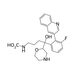 O=C(O)NCCCC(O)(c1cccc(F)c1-c1cnc2ccccc2c1)C1CNCCO1